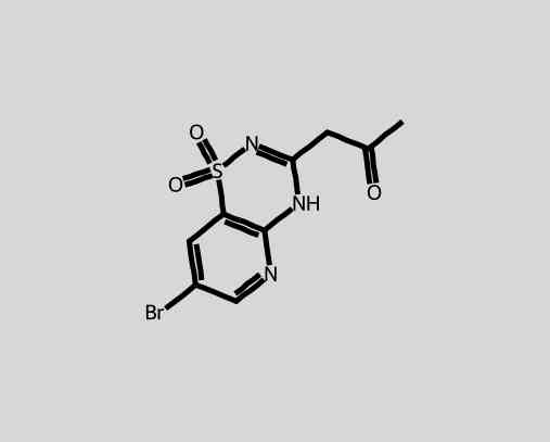 CC(=O)CC1=NS(=O)(=O)c2cc(Br)cnc2N1